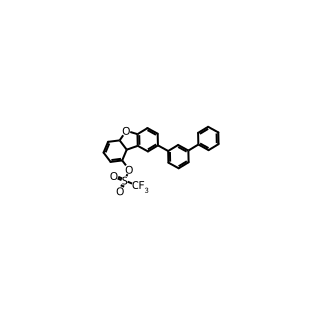 O=S(=O)(OC1=CC=CC2Oc3ccc(-c4cccc(-c5ccccc5)c4)cc3C12)C(F)(F)F